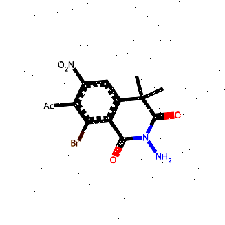 CC(=O)c1c([N+](=O)[O-])cc2c(c1Br)C(=O)N(N)C(=O)C2(C)C